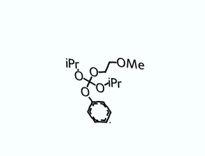 COCCOC(Oc1cc[c]cc1)(OC(C)C)OC(C)C